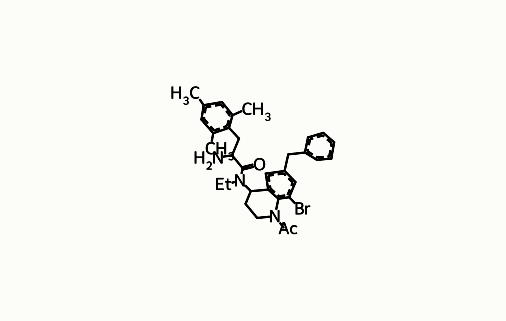 CCN(C(=O)C(N)Cc1c(C)cc(C)cc1C)C1CCN(C(C)=O)c2c(Br)cc(Cc3ccccc3)cc21